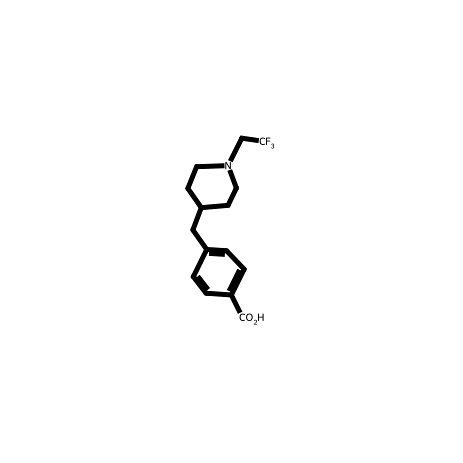 O=C(O)c1ccc(CC2CCN(CC(F)(F)F)CC2)cc1